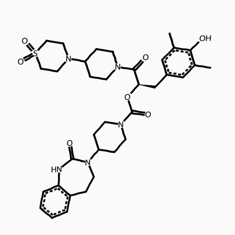 Cc1cc(C[C@@H](OC(=O)N2CCC(N3CCc4ccccc4NC3=O)CC2)C(=O)N2CCC(N3CCS(=O)(=O)CC3)CC2)cc(C)c1O